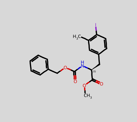 COC(=O)[C@H](Cc1ccc(I)c(C)c1)NC(=O)OCc1ccccc1